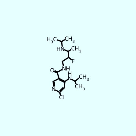 CC(C)Nc1cc(Cl)ncc1C(=O)NCC(F)C(C)NC(C)C